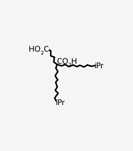 CC(C)CCCCCCCCCC(CCCCCCCCCC(C)C)(CCCCC(=O)O)C(=O)O